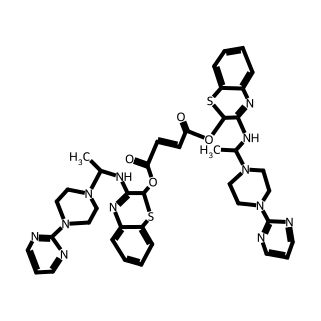 CC(NC1=Nc2ccccc2SC1OC(=O)/C=C/C(=O)OC1Sc2ccccc2N=C1NC(C)N1CCN(c2ncccn2)CC1)N1CCN(c2ncccn2)CC1